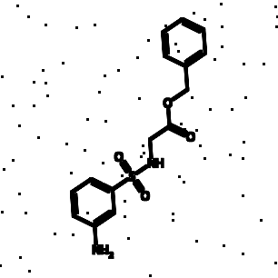 Nc1cccc(S(=O)(=O)NCC(=O)OCc2ccccc2)c1